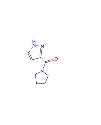 O=C(c1cc[nH]n1)N1CCCC1